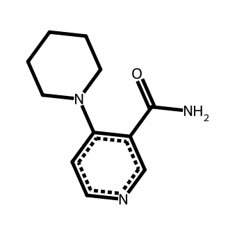 NC(=O)c1cnccc1N1CCCCC1